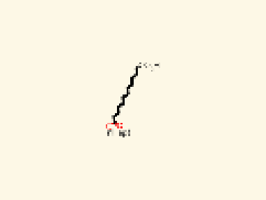 CCCCCCCOC(=O)CCCCCCCCCCCC(=O)O